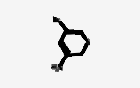 NC1=CC(Br)=CSC1